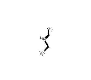 CCN[CH]N